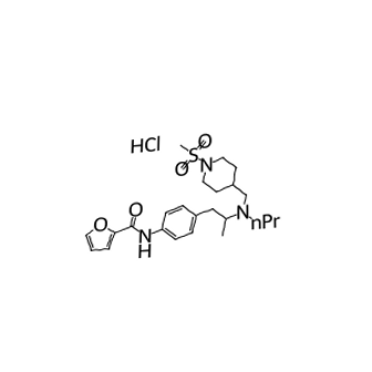 CCCN(CC1CCN(S(C)(=O)=O)CC1)C(C)Cc1ccc(NC(=O)c2ccco2)cc1.Cl